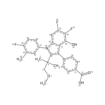 COCC(C)(C)c1c(-c2ccc(C(=O)O)cc2)c2c(O)c(F)c(F)cc2n1-c1ccc(F)c(C)c1